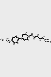 CCCCCOc1ccc(-c2ccc(C/C=C/C=C/C(=O)O)cc2)cc1